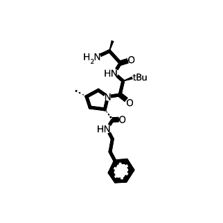 C[C@H]1C[C@@H](C(=O)NCCc2ccccc2)N(C(=O)[C@@H](NC(=O)[C@H](C)N)C(C)(C)C)C1